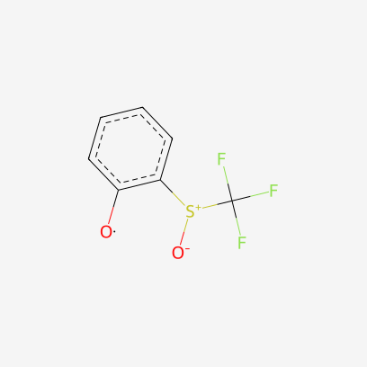 [O]c1ccccc1[S+]([O-])C(F)(F)F